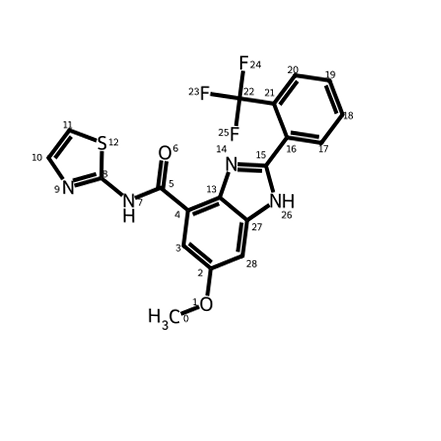 COc1cc(C(=O)Nc2nccs2)c2nc(-c3ccccc3C(F)(F)F)[nH]c2c1